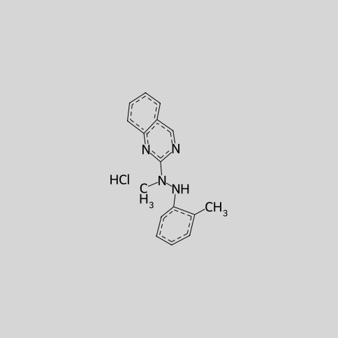 Cc1ccccc1NN(C)c1ncc2ccccc2n1.Cl